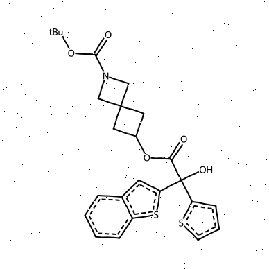 CC(C)(C)OC(=O)N1CC2(CC(OC(=O)C(O)(c3cccs3)c3cc4ccccc4s3)C2)C1